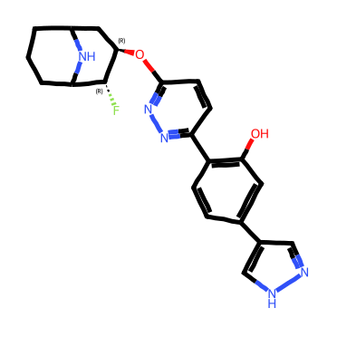 Oc1cc(-c2cn[nH]c2)ccc1-c1ccc(O[C@@H]2CC3CCCC(N3)[C@H]2F)nn1